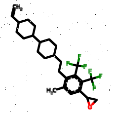 C=CC1CCC(C2CCC(CCc3c(C)cc(C4CO4)c(C(F)(F)F)c3C(F)(F)F)CC2)CC1